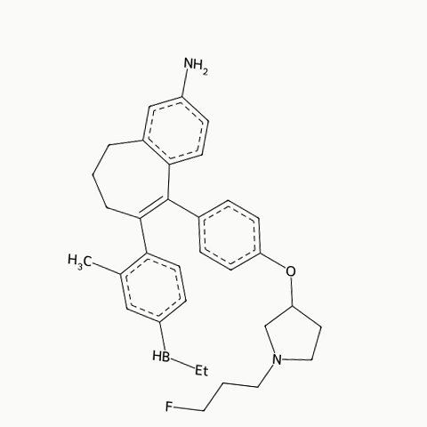 CCBc1ccc(C2=C(c3ccc(OC4CCN(CCCF)C4)cc3)c3ccc(N)cc3CCC2)c(C)c1